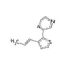 [CH2]/C=C/c1ccsc1-c1cnccn1